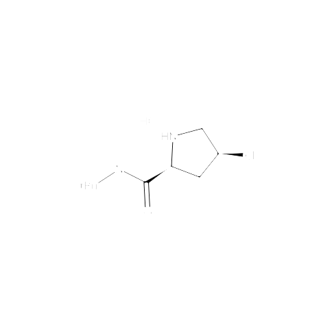 CC(C)(C)NC(=O)[C@@H]1C[C@H](Cl)CN1.Cl